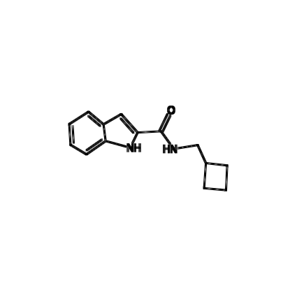 O=C(NCC1CCC1)c1cc2ccccc2[nH]1